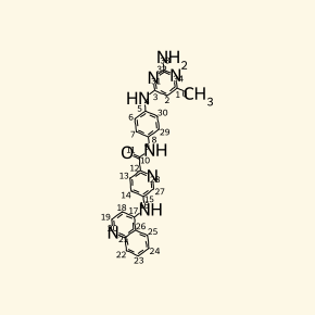 Cc1cc(Nc2ccc(NC(=O)c3ccc(Nc4ccnc5ccccc45)cn3)cc2)nc(N)n1